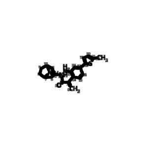 C=C(C(=O)NC1CC2CCC(C1)N2C)c1ccc(-c2ccc(C)s2)cc1N